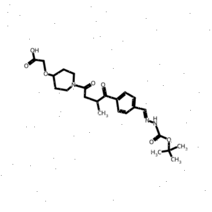 CC(CC(=O)N1CCC(OCC(=O)O)CC1)C(=O)c1ccc(C=NNC(=O)OC(C)(C)C)cc1